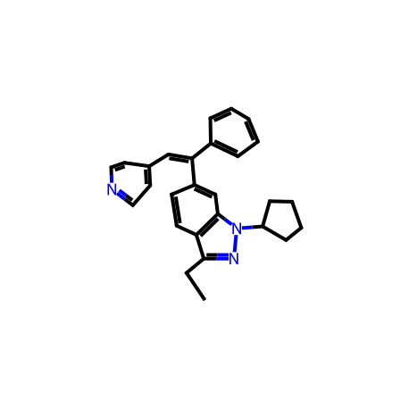 CCc1nn(C2CCCC2)c2cc(/C(=C\c3ccncc3)c3ccccc3)ccc12